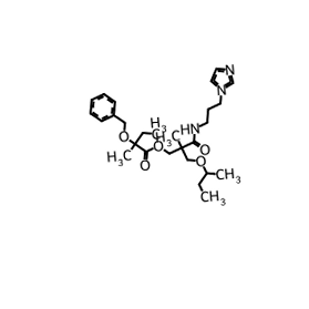 CCC(C)OCC(C)(COC(=O)C(C)(CC)OCc1ccccc1)C(=O)NCCCn1ccnc1